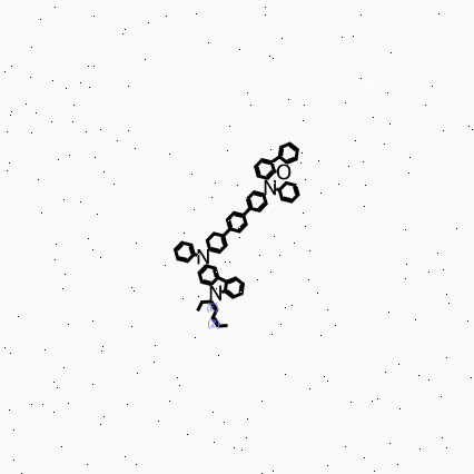 C/C=C\C=C(/CC)n1c2ccccc2c2cc(N(C3=CC=C(c4ccc(-c5ccc(N(c6cccc7c6oc6ccccc67)C6C=CC=CC6)cc5)cc4)CC3)c3ccccc3)ccc21